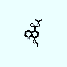 CCOc1ccc(C(=O)OC(C)C)c2cccnc12